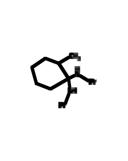 CC(C)NC1(NC(C)C)CCCCC1C